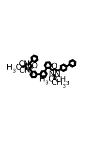 CC(C)(C)c1nc(-c2cccc(-c3cccc(-c4cccc5oc6c(-c7ccc(-c8ccccc8)cc7)nc(C(C)(C)C)nc6c45)c3)c2)c2oc3ccccc3c2n1